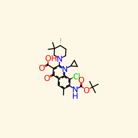 Cc1cc2c(=O)c(C(=O)O)c(N3CC[C@@H](C)C(C)(C)C3)n(C3CC3)c2c(Cl)c1NC(=O)OC(C)(C)C